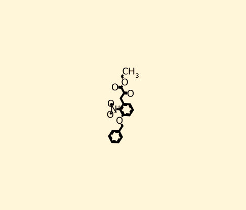 CCOC(=O)C(=O)Cc1cccc(OCc2ccccc2)c1[N+](=O)[O-]